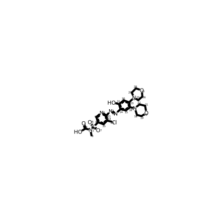 CN(C(=O)O)S(=O)(=O)c1cnc(N=Nc2cc(N3CCOCC3)c(N3CCOCC3)cc2O)c(Cl)c1